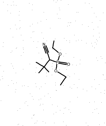 CCOP(=O)(OCC)C(C#N)C(C)(C)C